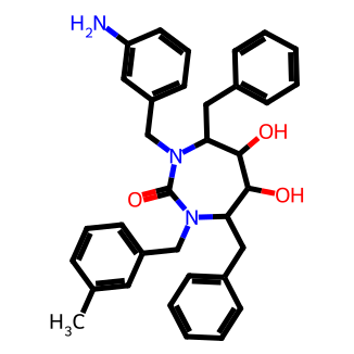 Cc1cccc(CN2C(=O)N(Cc3cccc(N)c3)C(Cc3ccccc3)C(O)C(O)C2Cc2ccccc2)c1